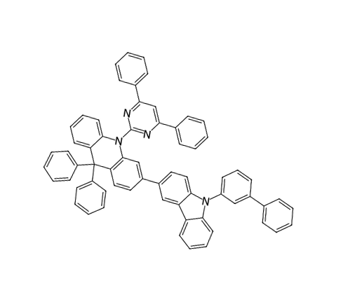 c1ccc(-c2cccc(-n3c4ccccc4c4cc(-c5ccc6c(c5)N(c5nc(-c7ccccc7)cc(-c7ccccc7)n5)c5ccccc5C6(c5ccccc5)c5ccccc5)ccc43)c2)cc1